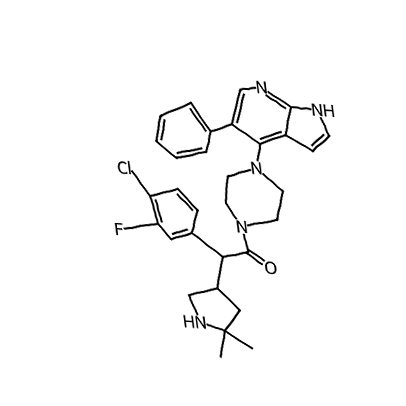 CC1(C)CC(C(C(=O)N2CCN(c3c(-c4ccccc4)cnc4[nH]ccc34)CC2)c2ccc(Cl)c(F)c2)CN1